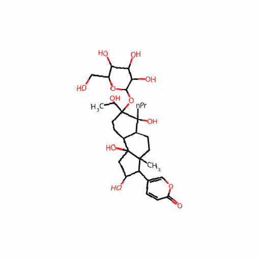 CCCC1(O)C2CCC3(C)C(c4ccc(=O)oc4)C(O)CC3(O)C2CCC1(OC1OC(CO)C(O)C(O)C1O)C(C)O